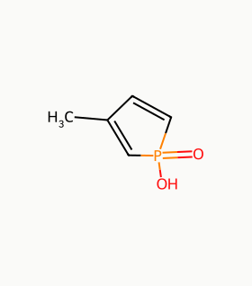 CC1=CP(=O)(O)C=C1